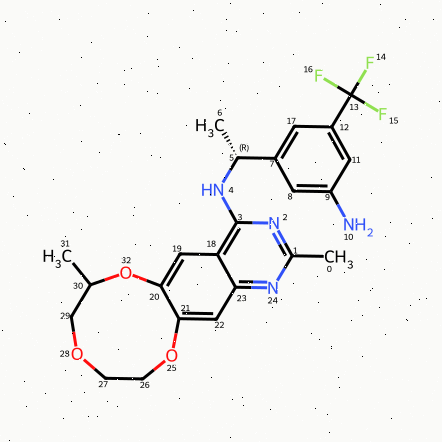 Cc1nc(N[C@H](C)c2cc(N)cc(C(F)(F)F)c2)c2cc3c(cc2n1)OCCOCC(C)O3